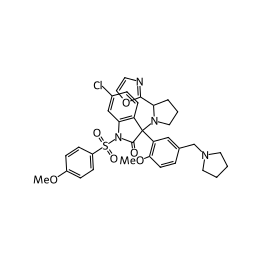 COc1ccc(S(=O)(=O)N2C(=O)C(c3cc(CN4CCCC4)ccc3OC)(N3CCCC3c3ncco3)c3ccc(Cl)cc32)cc1